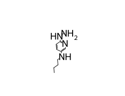 CCCCNc1ccc(NN)nc1